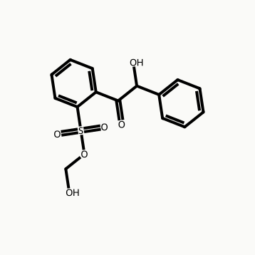 O=C(c1ccccc1S(=O)(=O)OCO)C(O)c1ccccc1